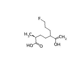 C=C(O)C(CCCF)CC[C@H](C)C(=O)O